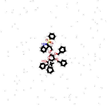 CC(C)(C)[Si](c1ccccc1)(c1ccccc1)C(O)[C@@H]1C[C@H](OCc2ccccc2)[C@@H](OCc2ccccc2)[C@@H](OCCc2c(S(=O)(=O)c3ccccc3)[nH]c3ccccc23)O1